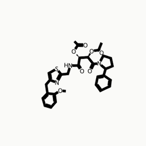 COc1ccccc1Cc1csc(CNC(=O)[C@H](OC(C)=O)[C@@H](OC(C)=O)C(=O)N2CCCC2c2ccccc2)n1